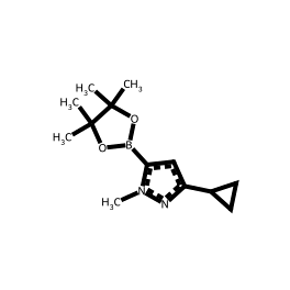 Cn1nc(C2CC2)cc1B1OC(C)(C)C(C)(C)O1